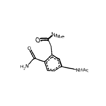 CNC(=O)c1cc(NC(C)=O)ccc1C(N)=O